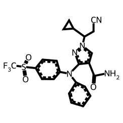 N#CCC(C1CC1)n1cc(C(N)=O)c(N(c2ccccc2)c2ccc(S(=O)(=O)C(F)(F)F)cc2)n1